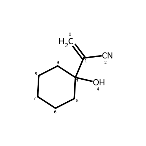 C=C(C#N)C1(O)CCCCC1